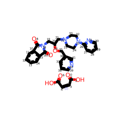 O=C(O)/C=C\C(=O)O.O=C1c2ccccc2C(=O)N1CC(CN1CCN(c2ccccn2)CC1)OCc1cccnc1